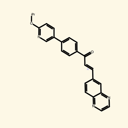 CC(C)Oc1ccc(-c2ccc(C(=O)/C=C/c3ccc4nccnc4c3)cc2)cn1